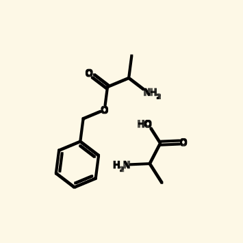 CC(N)C(=O)O.CC(N)C(=O)OCc1ccccc1